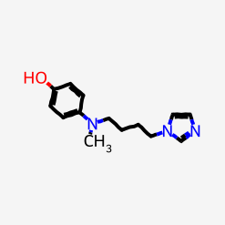 CN(CCCCn1ccnc1)c1ccc(O)cc1